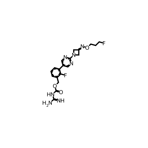 N=C(N)NC(=O)OCc1cccc(-c2cnc(N3CC(=NOCCCF)C3)nc2)c1F